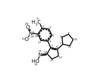 Cc1ccc(C2=C(C3CCCC3)CCC2=NO)cc1[N+](=O)[O-]